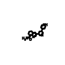 NC(=O)N1CCCc2cc(C3CN=CC(C4=CCNC=C4)C3)cnc21